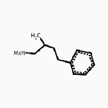 CNCC(C)CCc1ccccc1